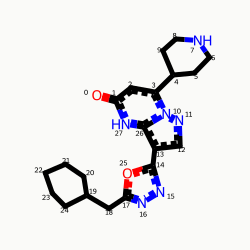 O=c1cc(C2CCNCC2)n2ncc(-c3nnc(CC4CCCCC4)o3)c2[nH]1